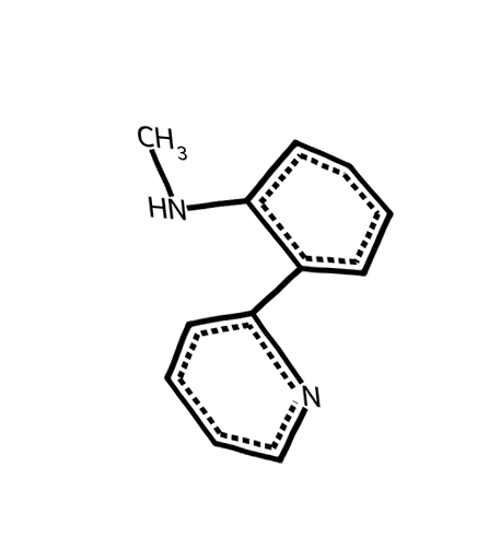 CNc1ccccc1-c1ccccn1